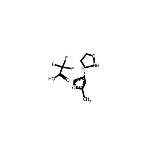 Cc1cc([C@@H]2CCON2)co1.O=C(O)C(F)(F)F